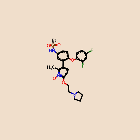 CCS(=O)(=O)Nc1ccc(Oc2ccc(F)cc2F)c(-c2ccc(OCCN3CCCC3)[n+]([O-])c2C)c1